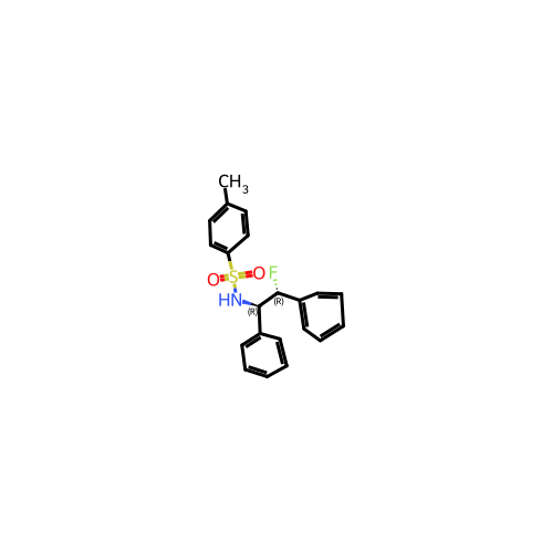 Cc1ccc(S(=O)(=O)N[C@H](c2ccccc2)[C@H](F)c2ccccc2)cc1